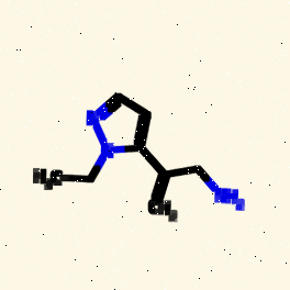 C=C(CN)c1ccnn1CC